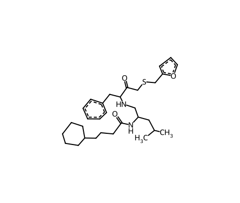 CC(C)CC(CNC(Cc1ccccc1)C(=O)CSCc1ccco1)NC(=O)CCCC1CCCCC1